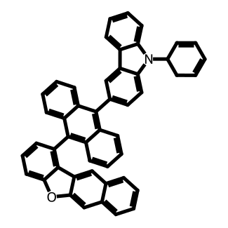 C1=CCC(n2c3ccccc3c3cc(-c4c5ccccc5c(-c5cccc6oc7cc8ccccc8cc7c56)c5ccccc45)ccc32)C=C1